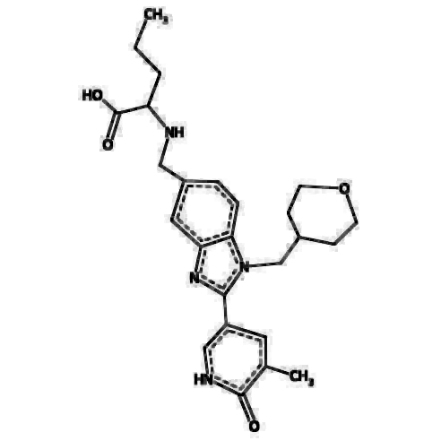 CCCC(NCc1ccc2c(c1)nc(-c1c[nH]c(=O)c(C)c1)n2CC1CCOCC1)C(=O)O